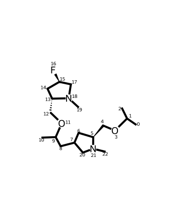 CC(C)OC[C@@H]1CC(CC(C)OC[C@@H]2C[C@@H](F)CN2C)CN1C